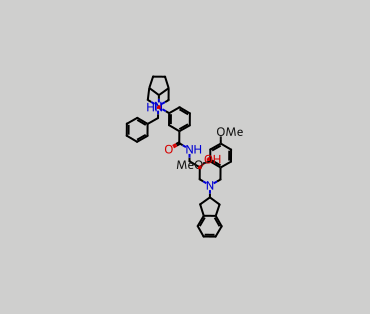 COc1ccc(CN(CC(O)CNC(=O)c2cccc(NC3C4CCC3CN(Cc3ccccc3)C4)c2)C2Cc3ccccc3C2)c(OC)c1